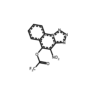 O=C(Oc1c([N+](=O)[O-])c2nnnn2c2ccccc12)C(F)(F)F